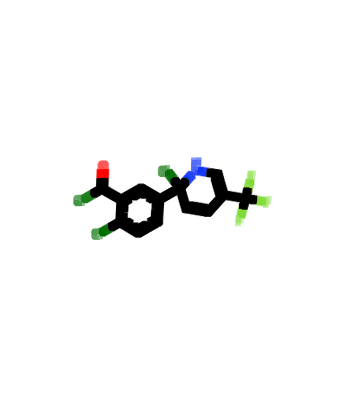 O=C(Cl)c1cc(C2(Cl)C=CC(C(F)(F)F)=CN2)ccc1Cl